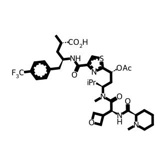 CC(=O)O[C@H](C[C@H](C(C)C)N(C)C(=O)[C@@H](NC(=O)[C@H]1CCCCN1C)C1COC1)c1nc(C(=O)N[C@@H](Cc2ccc(C(F)(F)F)cc2)C[C@H](C)C(=O)O)cs1